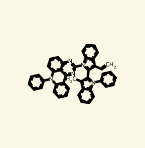 C=Cc1c(-c2c(C)c3ccccc3n2-c2ccccc2)n(-c2nc3c4c(cccc4n2)N(c2ccccc2)c2ccccc2-3)c2ccccc12